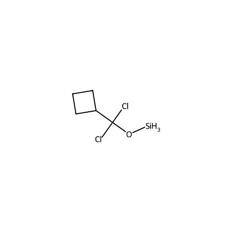 [SiH3]OC(Cl)(Cl)C1CCC1